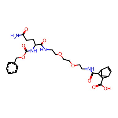 NC(=O)CCC(NC(=O)OCc1ccccc1)C(=O)NCCOCCOCCNC(=O)C1C2C=CC(C2)C1C(=O)O